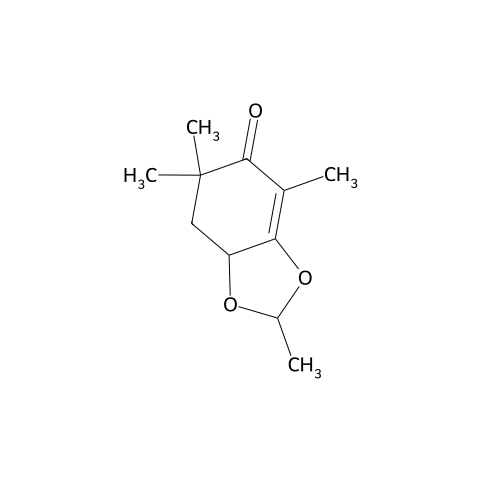 CC1=C2OC(C)OC2CC(C)(C)C1=O